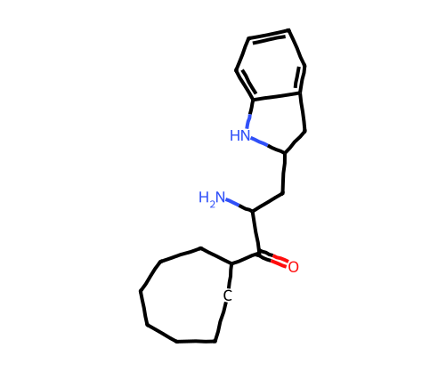 NC(CC1Cc2ccccc2N1)C(=O)C1CCCCCCC1